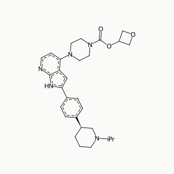 CC(C)N1CCC[C@@H](c2ccc(-c3cc4c(N5CCN(C(=O)OC6COC6)CC5)ccnc4[nH]3)cc2)C1